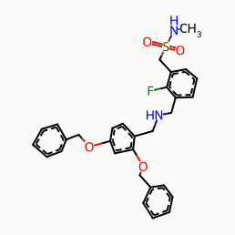 CNS(=O)(=O)Cc1cccc(CNCc2ccc(OCc3ccccc3)cc2OCc2ccccc2)c1F